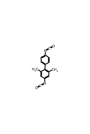 Cc1cc(N=C=O)cc(C)c1-c1ccc(N=C=O)cc1